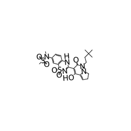 CN(c1ccc2c(c1)S(=O)(=O)N=C(C1=C(O)C3=CCCN3N(CCC(C)(C)C)C1=O)N2)S(C)(=O)=O